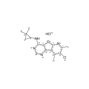 Cc1nc2oc3c(NC4CC4(C)C)ncnc3c2c(C)c1Cl.Cl